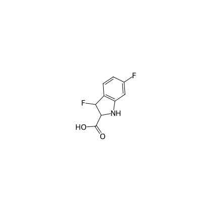 O=C(O)C1Nc2cc(F)ccc2C1F